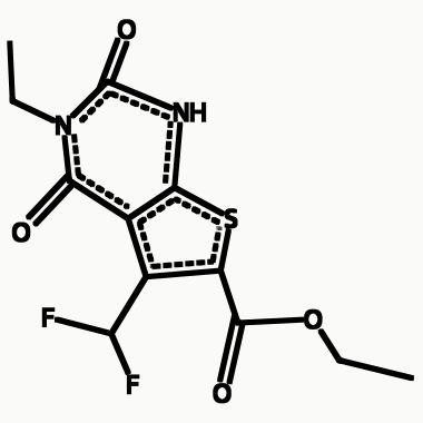 CCOC(=O)c1sc2[nH]c(=O)n(CC)c(=O)c2c1C(F)F